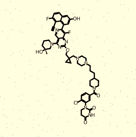 C#Cc1c(F)ccc2cc(O)cc(-c3ncc4c(N5CCC[C@@](C)(O)C5)nc(OCC5(CN6CCN(CCCC7CCN(C(=O)c8ccc(Cl)c(N9CCC(=O)NC9=O)c8)CC7)CC6)CC5)nc4c3F)c12